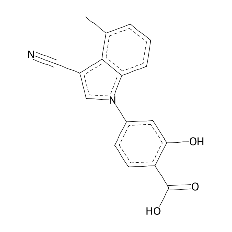 Cc1cccc2c1c(C#N)cn2-c1ccc(C(=O)O)c(O)c1